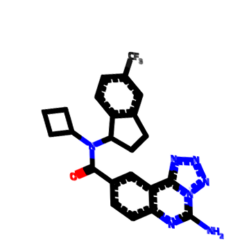 Nc1nc2ccc(C(=O)N(C3CCC3)C3CCc4cc(C(F)(F)F)ccc43)cc2c2nnnn12